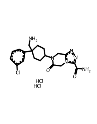 Cl.Cl.NCC1(c2cccc(Cl)c2)CCC(N2Cc3nnc(C(N)=O)n3CC2=O)CC1